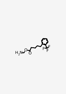 NCOC(=O)CCCCc1ccccc1C(F)(F)F